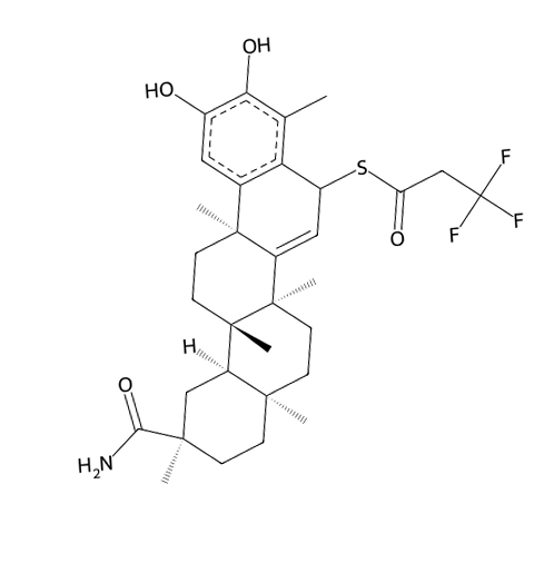 Cc1c(O)c(O)cc2c1C(SC(=O)CC(F)(F)F)C=C1[C@@]2(C)CC[C@@]2(C)[C@@H]3C[C@](C)(C(N)=O)CC[C@]3(C)CC[C@]12C